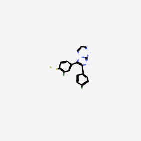 CSc1ccc(-c2c(-c3ccc(Cl)cc3)nc3ncccn23)cc1Cl